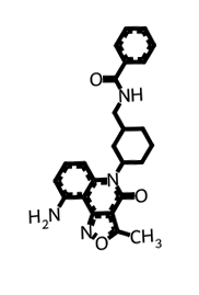 Cc1onc2c1c(=O)n(C1CCCC(CNC(=O)c3ccccc3)C1)c1cccc(N)c21